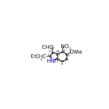 CCOC(=O)c1[nH]c2ccc(OC)c([N+](=O)[O-])c2c1C=O